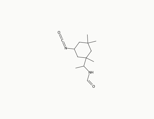 CC(NC=O)C1(C)CC(N=C=O)CC(C)(C)C1